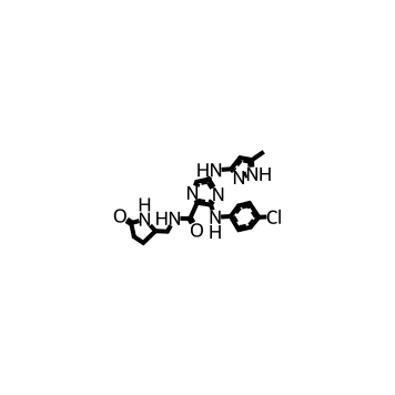 Cc1cc(Nc2cnc(C(=O)NCC3CCC(=O)N3)c(Nc3ccc(Cl)cc3)n2)n[nH]1